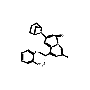 Cc1cc([C@H](C)Nc2ccccc2C(=O)O)c2cc(N3C4CCCC3C4)cc(=O)n2c1